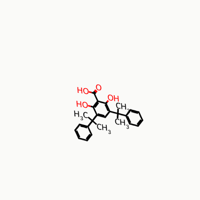 CC(C)(c1ccccc1)c1cc(C(C)(C)c2ccccc2)c(O)c(C(=O)O)c1O